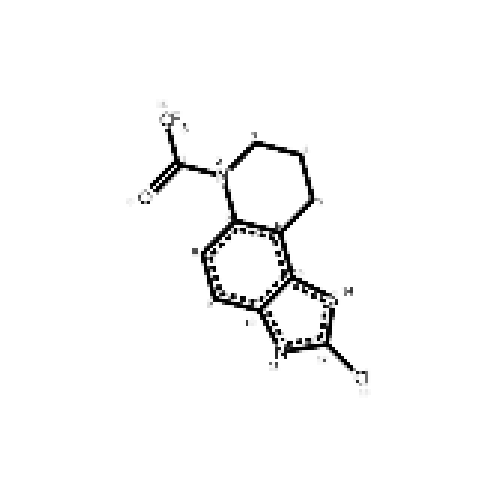 O=C(N1CCCc2c1ccc1nc(Cl)sc21)C(F)(F)F